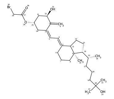 C=C1/C(=C\C=C2CCC[C@@]3(C)C2CC[C@@H]3[C@H](C)CCCC(C)(C)O)C[C@H](OC(=O)CBr)C[C@H]1O